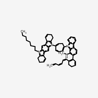 C=C/C=C\C=C/C1=C(c2ccc3c4ccccc4n(C4=CC=CC(n5c6c(c7cc8c(cc75)c5c(n8CCCCCCCC)CCC=C5)C=CCC6)=CC4)c3c2NC)C=CCC1